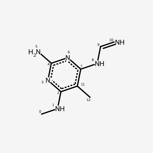 CNc1nc(N)nc(NC=N)c1C